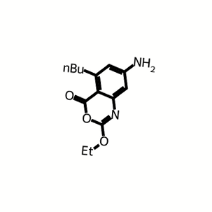 CCCCc1cc(N)cc2nc(OCC)oc(=O)c12